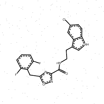 O=C(NCCc1c[nH]c2ccc(Cl)cc12)c1noc(Cc2c(F)cccc2F)n1